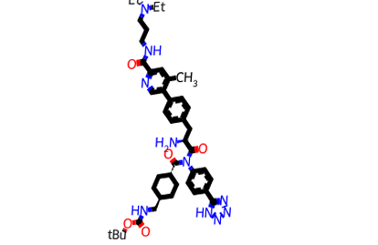 CCN(CC)CCCNC(=O)c1cc(C)c(-c2ccc(C[C@H](N)C(=O)N(c3ccc(-c4nnn[nH]4)cc3)C(=O)[C@H]3CC[C@H](CNC(=O)OC(C)(C)C)CC3)cc2)cn1